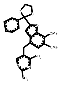 COc1cc(Cc2cnc(N)nc2N)c2cc(C3(c4ccccc4)OCCO3)oc2c1OC